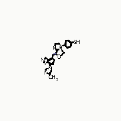 CC1CN(c2ccc(/C=C3\OCCN4C3=NCCN4c3ccc(S)cc3)c3cnsc23)C=N1